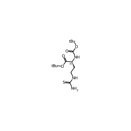 CC(C)(C)OC(=O)N[C@@H](CCNC(N)=S)C(=O)OC(C)(C)C